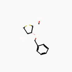 OC[C@H]1SC[C@@H](O)[C@@H]1OCc1ccccc1